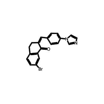 O=C1C(=Cc2ccc(-n3ccnc3)cc2)CCc2ccc(Br)cc21